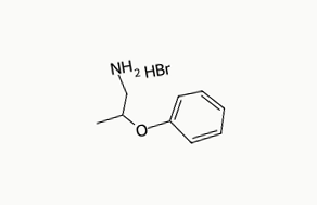 Br.CC(CN)Oc1ccccc1